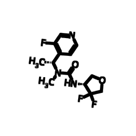 C[C@H](c1ccncc1F)N(C)C(=O)N[C@@H]1COCC1(F)F